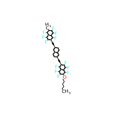 CCCCCCOc1c(F)c(F)c2c(F)c(C#Cc3ccc4cc(C#Cc5c(F)c(F)c6c(F)c(C)c(F)c(F)c6c5F)ccc4c3)c(F)c(F)c2c1F